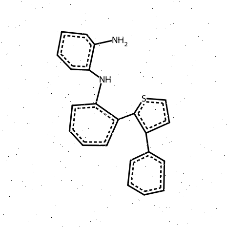 Nc1ccccc1Nc1ccccc1-c1sccc1-c1ccccc1